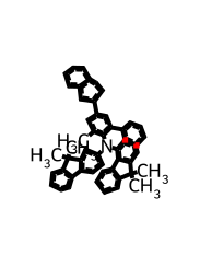 Cc1cc(-c2ccc3ccccc3c2)cc(-c2ccccc2)c1N(c1ccc2c(c1)C(C)(C)c1ccccc1-2)c1cccc2c1-c1ccccc1C2(C)C